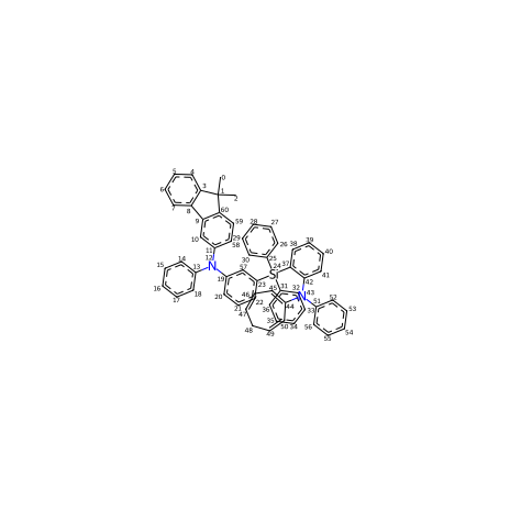 CC1(C)c2ccccc2-c2cc(N(c3ccccc3)c3cccc([Si](c4ccccc4)(c4ccccc4)c4ccccc4N(C4=CC=CCC=C4)c4ccccc4)c3)ccc21